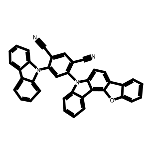 N#Cc1cc(C#N)c(-n2c3ccccc3c3c4oc5ccccc5c4ccc32)cc1-n1c2ccccc2c2ccccc21